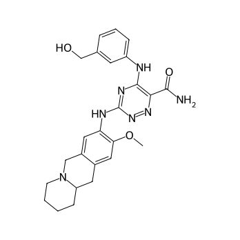 COc1cc2c(cc1Nc1nnc(C(N)=O)c(Nc3cccc(CO)c3)n1)CN1CCCCC1C2